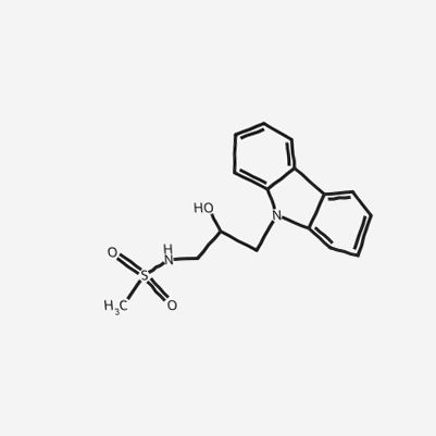 CS(=O)(=O)NCC(O)Cn1c2ccccc2c2ccccc21